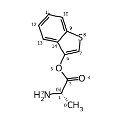 C[C@H](N)C(=O)Oc1csc2ccccc12